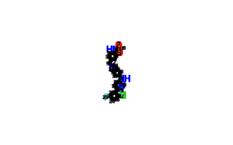 CS(=O)(=O)Nc1ccc(CN2CC3CC(Nc4ccc(-c5cc(F)ccc5Cl)nn4)CC3C2)cc1